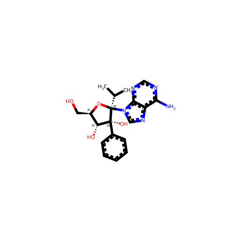 CC(C)[C@@]1(n2cnc3c(N)ncnc32)O[C@H](CO)[C@@H](O)[C@]1(O)c1ccccc1